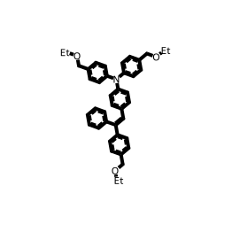 CCOCc1ccc(C(=Cc2ccc(N(c3ccc(COCC)cc3)c3ccc(COCC)cc3)cc2)c2ccccc2)cc1